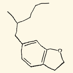 CCCC(C)Cc1ccc2c(c1)OCC2